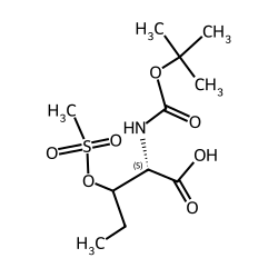 CCC(OS(C)(=O)=O)[C@H](NC(=O)OC(C)(C)C)C(=O)O